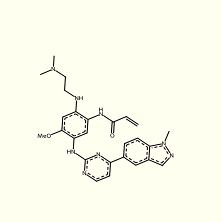 C=CC(=O)Nc1cc(Nc2nccc(-c3ccc4c(cnn4C)c3)n2)c(OC)cc1NCCN(C)C